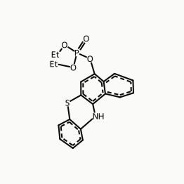 CCOP(=O)(OCC)Oc1cc2c(c3ccccc13)Nc1ccccc1S2